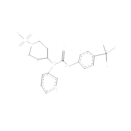 NS(=O)(=O)N1CCC(N(C(=O)Nc2ccc(C(F)(F)F)cc2)c2cccnc2)CC1